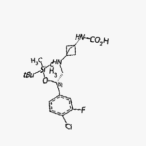 CC(C)(C)[Si](C)(C)O[C@H](CNC12CC(NC(=O)O)(C1)C2)c1ccc(Cl)c(F)c1